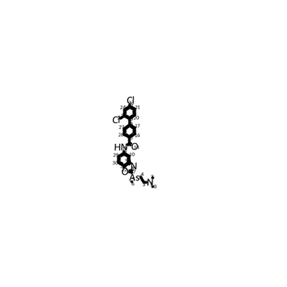 CN(C)CC[As](C)c1nc2cc(NC(=O)c3ccc(-c4ccc(Cl)cc4Cl)cc3)ccc2o1